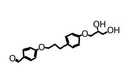 O=Cc1ccc(OCCCc2ccc(OC[C@@H](O)CO)cc2)cc1